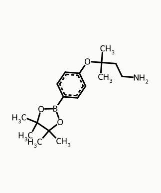 CC(C)(CCN)Oc1ccc(B2OC(C)(C)C(C)(C)O2)cc1